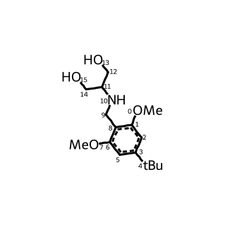 COc1cc(C(C)(C)C)cc(OC)c1CNC(CO)CO